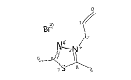 C=CC[n+]1nc(C)sc1C.[Br-]